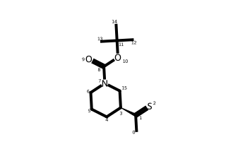 CC(=S)[C@H]1CCCN(C(=O)OC(C)(C)C)C1